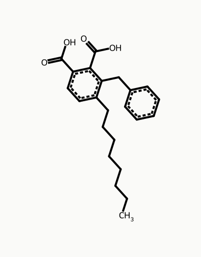 CCCCCCCCc1ccc(C(=O)O)c(C(=O)O)c1Cc1ccccc1